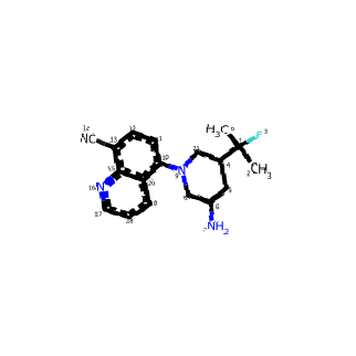 CC(C)(F)C1CC(N)CN(c2ccc(C#N)c3ncccc23)C1